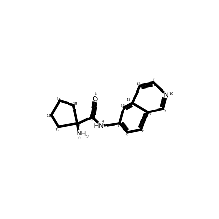 NC1(C(=O)Nc2ccc3cnccc3c2)CCCC1